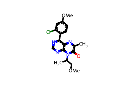 COCC(C)n1c(=O)c(C)nc2c(-c3ccc(OC)cc3Cl)ncnc21